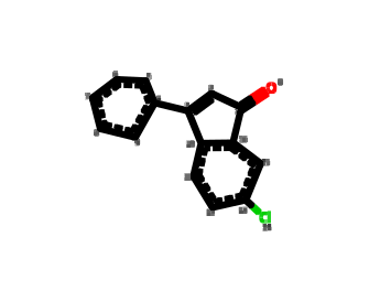 O=C1C=C(c2ccccc2)c2ccc(Cl)cc21